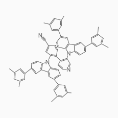 Cc1cc(C)cc(-c2ccc3c(c2)c2cc(-c4cc(C)cc(C)c4)ccc2n3-c2cnccc2-c2ccc(C#N)cc2-n2c3ccc(-c4cc(C)cc(C)c4)cc3c3cc(-c4cc(C)cc(C)c4)ccc32)c1